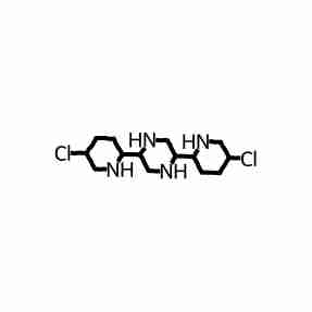 ClC1CCC(C2CNC(C3CCC(Cl)CN3)CN2)NC1